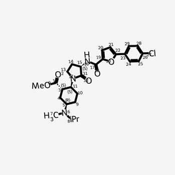 COC(=O)[C@H]1C[C@H](N(C)C(C)C)CC[C@@H]1N1CC[C@H](NC(=O)c2ccc(-c3ccc(Cl)cc3)o2)C1=O